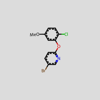 COc1ccc(Cl)c(Oc2ccc(Br)cn2)c1